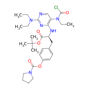 CCN(CC)c1ncc(N(CC)C(=O)Cl)c(N[C@@H](Cc2ccc(OC(=O)N3CCCC3)cc2)C(=O)OC(C)(C)C)n1